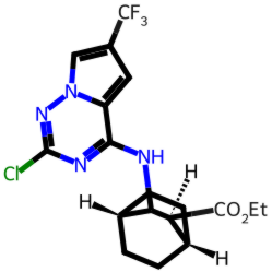 CCOC(=O)[C@@H]1C(Nc2nc(Cl)nn3cc(C(F)(F)F)cc23)[C@H]2CC[C@@H]1CC2